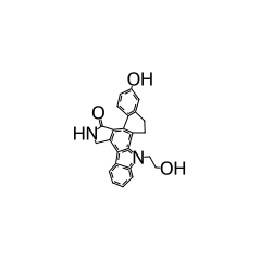 O=C1NCc2c1c1c(c3c2c2ccccc2n3CCO)CCc2cc(O)ccc2-1